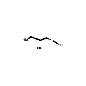 Br.CCCCCC[CH2][Mg][CH2]CC